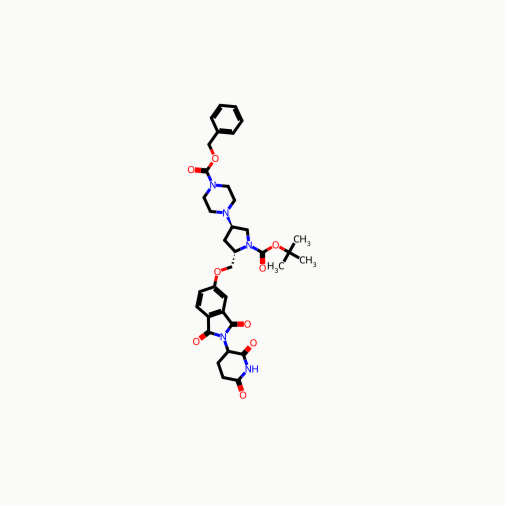 CC(C)(C)OC(=O)N1C[C@H](N2CCN(C(=O)OCc3ccccc3)CC2)C[C@H]1COc1ccc2c(c1)C(=O)N(C1CCC(=O)NC1=O)C2=O